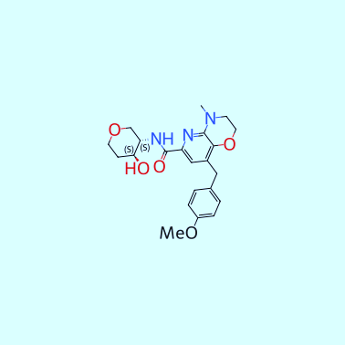 COc1ccc(Cc2cc(C(=O)N[C@H]3COCC[C@@H]3O)nc3c2OCCN3C)cc1